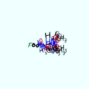 CC(C)(C)OC(=O)/N=C(\NCCC[C@@H](CNC(=O)c1nc2cc(-c3ccc(F)cc3)ccc2[nH]1)NC(=O)OC(C)(C)C)NC(=O)OC(C)(C)C